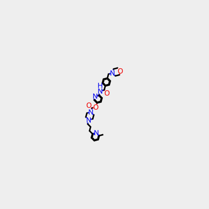 Cc1cccc(CCCN2CCN(C(=O)Oc3ccc(NC(=O)c4ccc(CN5CCOCC5)cc4)nc3)CC2)n1